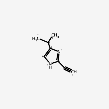 C#Cc1nc(C(C)C)c[nH]1